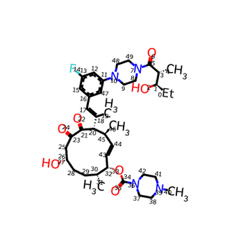 CC[C@@H](O)[C@@H](C)C(=O)N1CCN(c2cc(F)cc(/C=C(\C)[C@H]3C(=O)C(=O)C[C@@H](O)CC[C@@H](C)[C@@H](OC(=O)N4CCN(C)CC4)/C=C/[C@@H]3C)c2)CC1